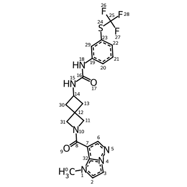 Cn1ccn2ncc(C(=O)N3CC4(CC(NC(=O)Nc5cccc(SC(F)(F)F)c5)C4)C3)c12